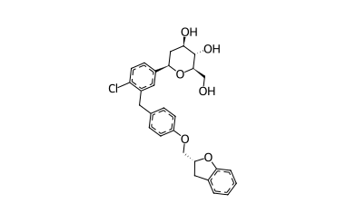 OC[C@H]1O[C@@H](c2ccc(Cl)c(Cc3ccc(OC[C@H]4Cc5ccccc5O4)cc3)c2)C[C@@H](O)[C@@H]1O